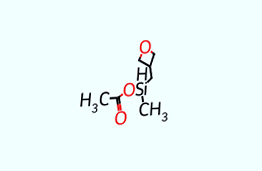 CC(=O)O[SiH](C)CC1COC1